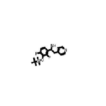 CC(C)(C)[Si](C)(C)Oc1c(F)ccc(C(N)Cc2ccncc2)c1F